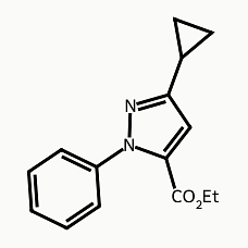 CCOC(=O)c1cc(C2CC2)nn1-c1ccccc1